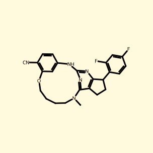 [C-]#[N+]c1ccc2cc1OCCCCN(C)c1nc(nc3c1CCC3c1ccc(F)cc1F)N2